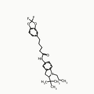 CCCN1c2ccc(NC(=O)CCCCc3ccc4c(c3)OC(F)(F)O4)cc2CC1C(C)(C)C